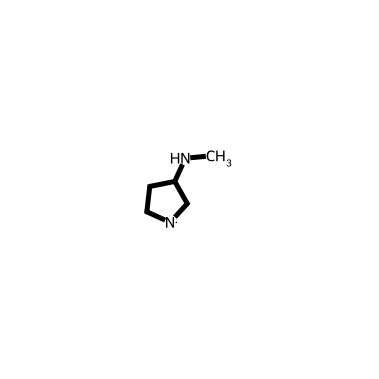 CNC1CC[N]C1